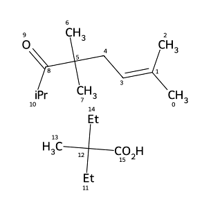 CC(C)=CCC(C)(C)C(=O)C(C)C.CCC(C)(CC)C(=O)O